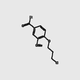 CCC(=O)c1ccc(OCCCCl)c(OC)c1